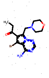 CCC(=O)c1c(Br)c2c(N)ncnn2c1CN1CCOCC1